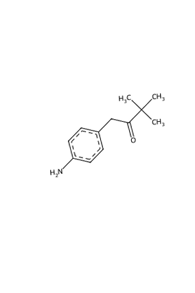 CC(C)(C)C(=O)Cc1ccc(N)cc1